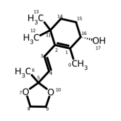 CC1=C(/C=C/C2(C)OCCO2)C(C)(C)CC[C@@H]1O